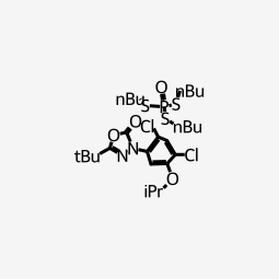 CC(C)Oc1cc(-n2nc(C(C)(C)C)oc2=O)c(Cl)cc1Cl.CCCCSP(=O)(SCCCC)SCCCC